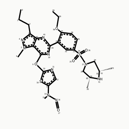 CCCc1nn(C)c2c(Oc3ncc(N(C)N=O)s3)nc(-c3cc(S(=O)(=O)N4C[C@@H](C)N[C@@H](C)C4)ccc3OCC)nc12